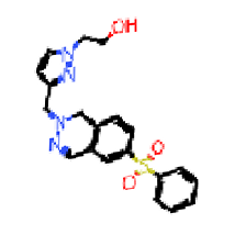 O=S(=O)(c1ccccc1)c1ccc2c(c1)C=NN(Cc1ccn(CCO)n1)C2